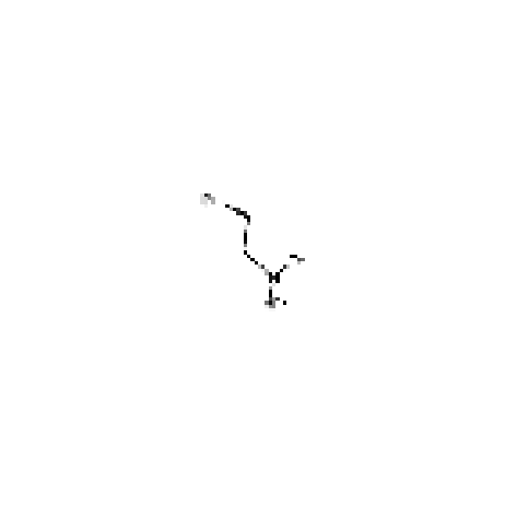 CCCN(CC)CC[C@H](C)CC